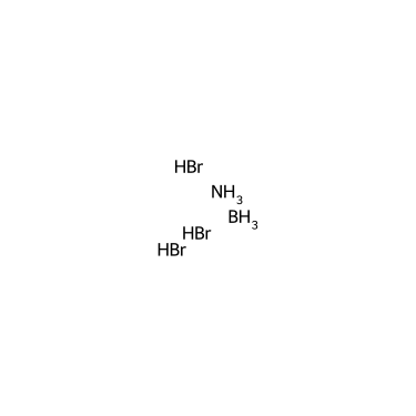 B.Br.Br.Br.N